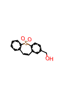 O=S1(=O)c2ccccc2C=Cc2cc(CO)ccc21